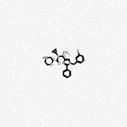 C[C@H](c1cn(Cc2cccc(F)c2)c(-c2ccccc2)n1)N(C(=O)[C@H]1CNCCO1)C1CC1